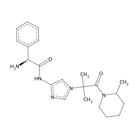 CC1CCCCN1C(=O)C(C)(C)n1cnc(NC(=O)[C@@H](N)c2ccccc2)c1